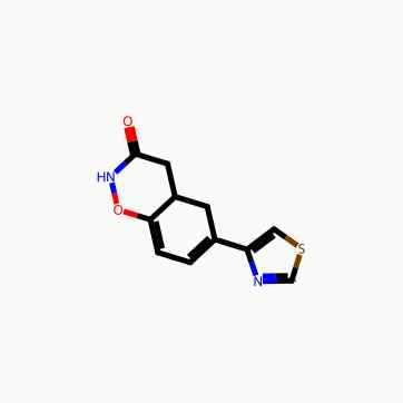 O=C1CC2CC(c3cs[c]n3)=CC=C2ON1